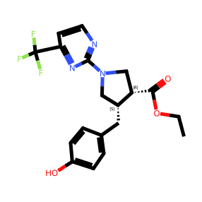 CCOC(=O)[C@H]1CN(c2nccc(C(F)(F)F)n2)C[C@H]1Cc1ccc(O)cc1